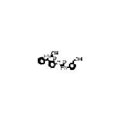 O=C(O)NC(c1ccccc1)c1cccc(OCC(=O)Nc2cccc(CO)c2)c1